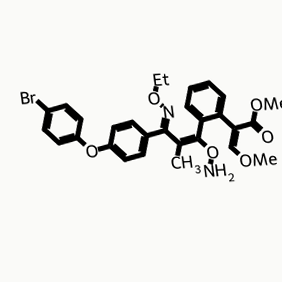 CCON=C(C(C)=C(ON)c1ccccc1C(=COC)C(=O)OC)c1ccc(Oc2ccc(Br)cc2)cc1